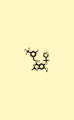 COc1cc2nc(C)nc(NCc3cc(F)cc(C(F)(F)F)c3)c2cc1OC(C)(C)C1CCOC1